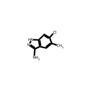 Cc1cc2c(N)n[nH]c2cc1Cl